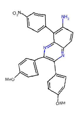 COc1ccc(-c2nc3ccc(N)c(-c4ccc([N+](=O)[O-])cc4)c3nc2-c2ccc(OC)cc2)cc1